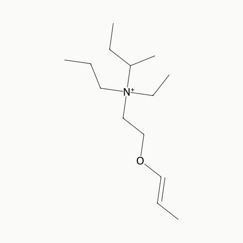 C/C=C/OCC[N+](CC)(CCC)C(C)CC